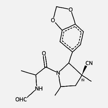 CC(NC=O)C(=O)N1C(C)C[C@](C)(C#N)C1c1ccc2c(c1)OCO2